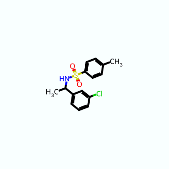 Cc1ccc(S(=O)(=O)NC(C)c2cccc(Cl)c2)cc1